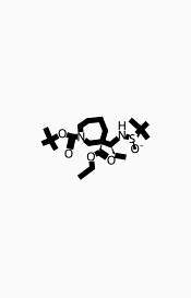 CCOC(=O)[C@@]1([C@@H](CC)N[S@+]([O-])C(C)(C)C)CCCCN(C(=O)OC(C)(C)C)C1